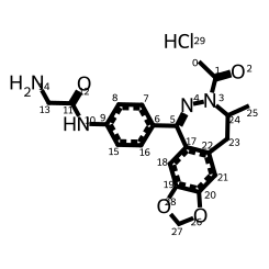 CC(=O)N1N=C(c2ccc(NC(=O)CN)cc2)c2cc3c(cc2CC1C)OCO3.Cl